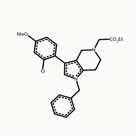 CCOC(=O)CN1CCc2c(c(-c3ccc(OC)cc3Cl)cn2Cc2ccccc2)C1